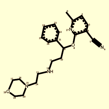 Cc1ccc(C#N)c(OC(CCNCCN2CCOCC2)c2ccccc2)n1